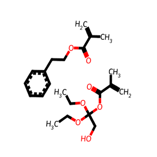 C=C(C)C(=O)OC(CO)(OCC)OCC.C=C(C)C(=O)OCCc1ccccc1